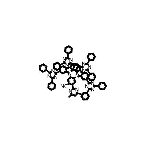 Cc1cc(C)nc(-c2cc(-n3c4cc(-c5nc(-c6ccccc6)nc(-c6ccccc6)n5)ccc4c4ccc(-c5nc(-c6ccccc6)nc(-c6ccccc6)n5)cc43)c(-n3c4cc(-c5nc(-c6ccccc6)nc(-c6ccccc6)n5)ccc4c4ccc(-c5nc(-c6ccccc6)nc(-c6ccccc6)n5)cc43)cc2C#N)n1